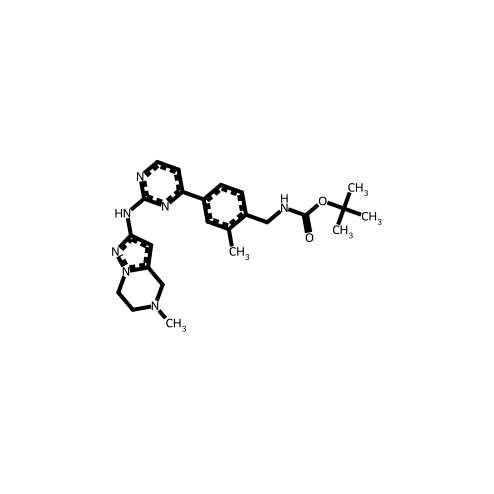 Cc1cc(-c2ccnc(Nc3cc4n(n3)CCN(C)C4)n2)ccc1CNC(=O)OC(C)(C)C